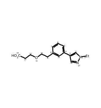 CCn1cc(-c2cccc(CCOCCC(=O)O)c2)cn1